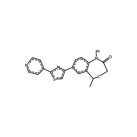 CC1CCC(=O)N(C(C)C)c2ccc(-c3csc(-c4ccncc4)n3)cc21